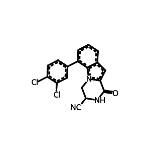 N#CC1Cn2c(cc3cccc(-c4ccc(Cl)c(Cl)c4)c32)C(=O)N1